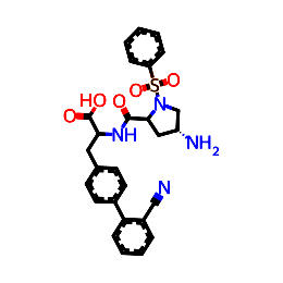 N#Cc1ccccc1-c1ccc(CC(NC(=O)C2C[C@@H](N)CN2S(=O)(=O)c2ccccc2)C(=O)O)cc1